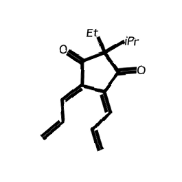 C=C/C=C1/C(=O)C(CC)(C(C)C)C(=O)/C1=C/C=C